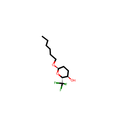 CCCCCCO[C@H]1CC[C@@H](O)[C@H](C(F)(F)F)O1